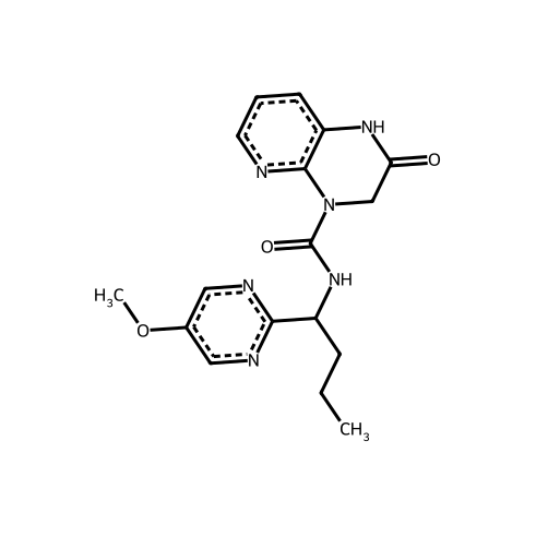 CCCC(NC(=O)N1CC(=O)Nc2cccnc21)c1ncc(OC)cn1